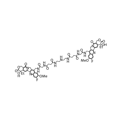 CC[C@@]1(O)C(=O)OCc2c1cc1n(c2=O)Cc2c-1nc1cc(F)c(OC)cc1c2CNC(=O)CNC(=O)CCC(=O)NCCNCCNC(=O)CCC(=O)NCC(=O)NCc1c2c(nc3cc(F)c(OC)cc13)-c1cc3c(c(=O)n1C2)COC(=O)[C@]3(O)CC